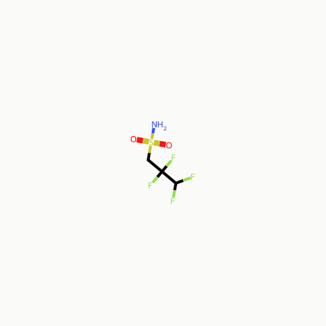 NS(=O)(=O)CC(F)(F)C(F)F